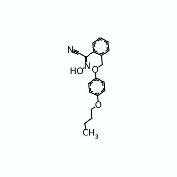 CCCCOc1ccc(OCc2ccccc2C(C#N)=NO)cc1